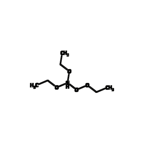 CCOO[SiH](OCC)OCC